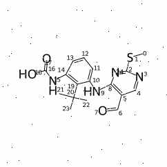 CSc1ncc(C=O)c(Nc2cccc(NC(=O)O)c2C(C)(C)C)n1